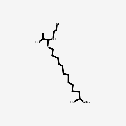 CCCCCCC(O)CCCCCCCCCCCOC(NCCO)C(C)O